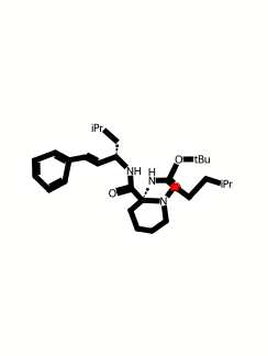 CC(C)CCCN1CCCC[C@@]1(NC(=O)OC(C)(C)C)C(=O)N[C@H](/C=C/c1ccccc1)CC(C)C